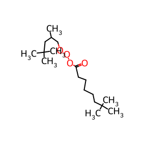 CC(COOOC(=O)CCCCCC(C)(C)C)CC(C)(C)C